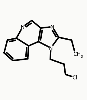 CCc1nc2cnc3ccccc3c2n1CCCCl